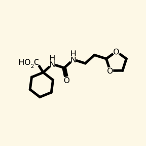 O=C(NCCC1OCCO1)NC1(C(=O)O)CCCCC1